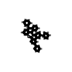 O=c1c2ccc(-c3ccccc3)cc2c2cc(-c3ccccc3)ccc2n1-c1c2ccccc2c(-c2ccccc2)c2ccccc12